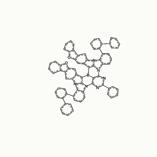 c1ccc(-c2nc3c4c(n2)-n2c5cccc(-c6ccccc6-c6ccccc6)c5n5c6cc7c(cc6c(c25)B4c2c4cc5oc6ccccc6c5cc4n4c5c(-c6ccccc6-c6ccccc6)cccc5n-3c24)oc2ccccc27)cc1